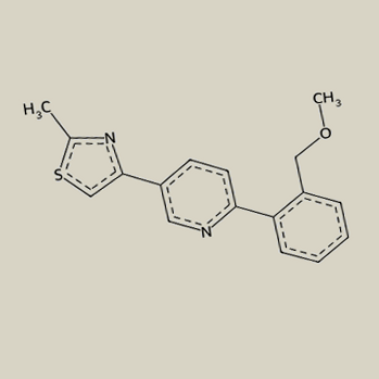 COCc1ccccc1-c1ccc(-c2csc(C)n2)cn1